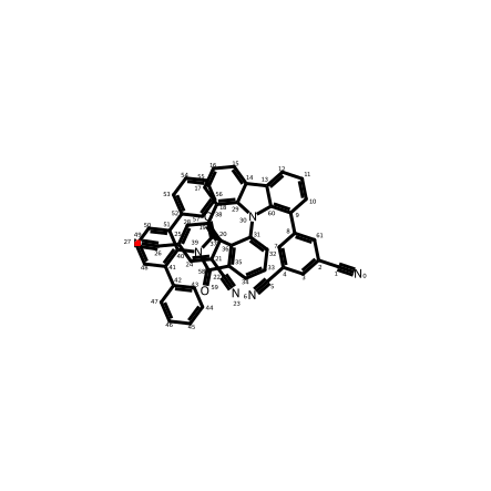 N#Cc1cc(C#N)cc(-c2cccc3c4cccc(-c5cc(C#N)cc(C#N)c5)c4n(-c4cccc5c4C(=O)N(c4c(-c6ccccc6)cccc4-c4ccccc4)C5=O)c23)c1